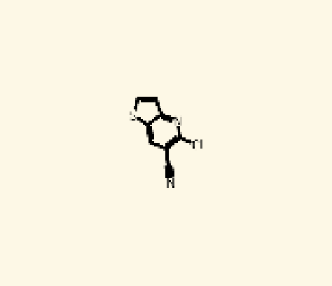 N#Cc1cc2sccc2nc1Cl